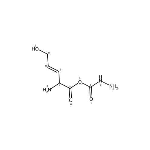 NNC(=O)OC(=O)C(N)C=CCO